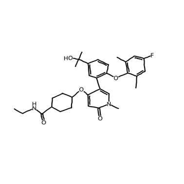 CCNC(=O)C1CCC(Oc2cc(=O)n(C)cc2-c2cc(C(C)(C)O)ccc2Oc2c(C)cc(F)cc2C)CC1